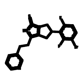 Fc1ccc(Br)c(F)c1C1Cc2c(CCc3cccnc3)[nH]c(=S)n2C1